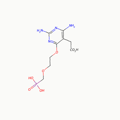 Nc1nc(N)c(CC(=O)O)c(OCCOCP(=O)(O)O)n1